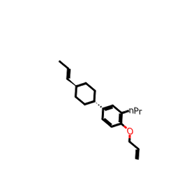 C=CCOc1ccc([C@H]2CC[C@H](C=CC)CC2)cc1CCC